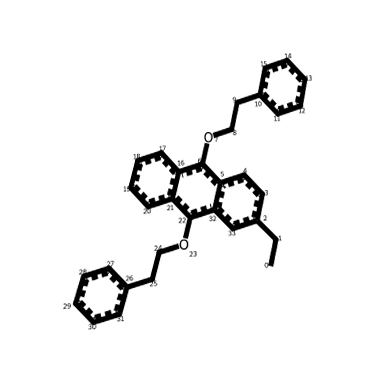 CCc1ccc2c(OCCc3ccccc3)c3ccccc3c(OCCc3ccccc3)c2c1